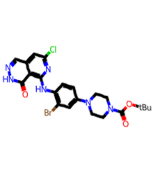 CC(C)(C)OC(=O)N1CCN(c2ccc(Nc3nc(Cl)cc4cn[nH]c(=O)c34)c(Br)c2)CC1